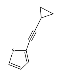 C(#CC1CC1)c1cccs1